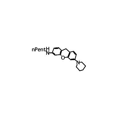 CCCCCNc1ccc2c(c1)Oc1cc(N3CCCCC3)ccc1C2